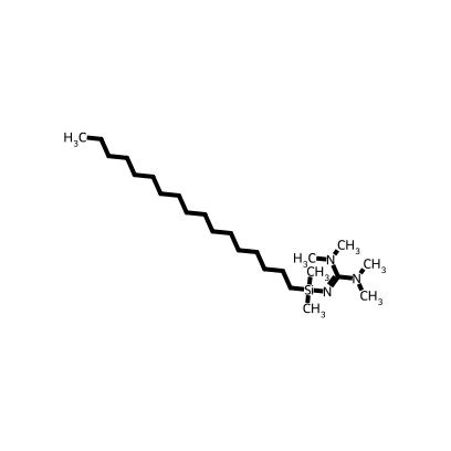 CCCCCCCCCCCCCCCCC[Si](C)(C)N=C(N(C)C)N(C)C